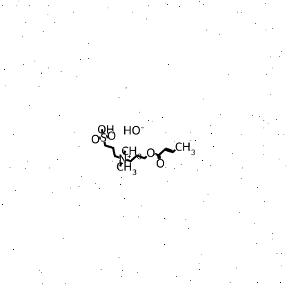 CC=CC(=O)OCCC[N+](C)(C)CCCS(=O)(=O)O.[OH-]